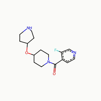 O=C(c1ccncc1F)N1CCC(OC2CCNCC2)CC1